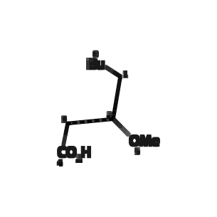 CCC(C)CC(CC(=O)O)OC